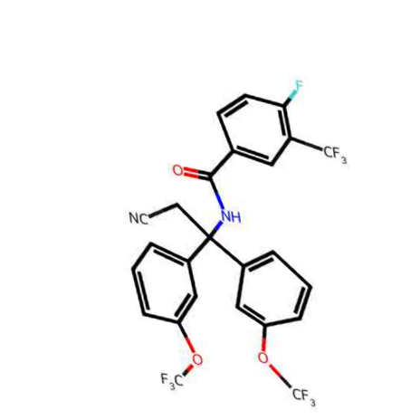 N#CCC(NC(=O)c1ccc(F)c(C(F)(F)F)c1)(c1cccc(OC(F)(F)F)c1)c1cccc(OC(F)(F)F)c1